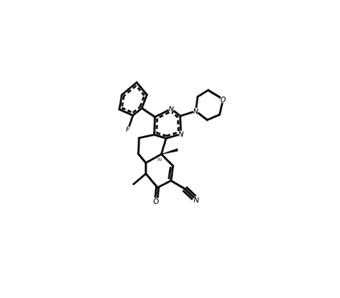 CC1C(=O)C(C#N)=C[C@@]2(C)c3nc(N4CCOCC4)nc(-c4ccccc4F)c3CCC12